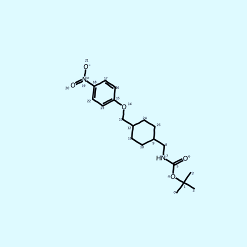 CC(C)(C)OC(=O)NCC1CCC(COc2ccc([N+](=O)[O-])cc2)CC1